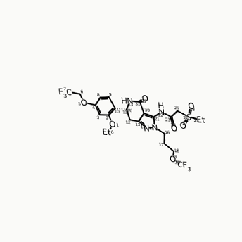 CCOc1cc(OCC(F)(F)F)ccc1[C@H]1Cc2nn(CCCOC(F)(F)F)c(NC(=O)CS(=O)(=O)CC)c2C(=O)N1